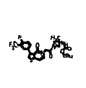 CC1(NC(=O)OC(C)(C)C)CN(C(=O)Cn2ccc3scc(-c4ccc(F)c(C(F)(F)F)c4)c3c2=O)C1